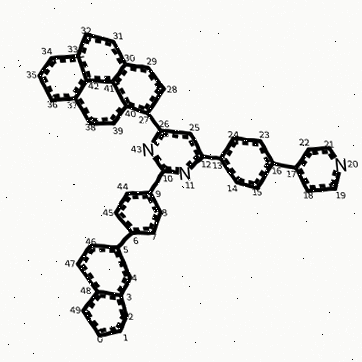 c1ccc2cc(-c3ccc(-c4nc(-c5ccc(-c6ccncc6)cc5)cc(-c5ccc6ccc7cccc8ccc5c6c78)n4)cc3)ccc2c1